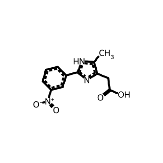 Cc1[nH]c(-c2cccc([N+](=O)[O-])c2)nc1CC(=O)O